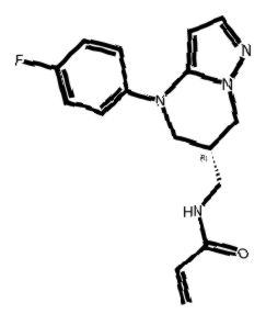 C=CC(=O)NC[C@@H]1CN(c2ccc(F)cc2)c2ccnn2C1